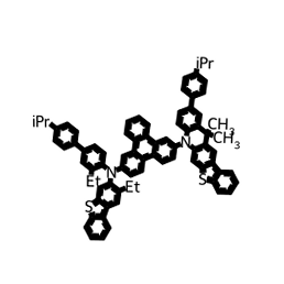 CCc1cc(-c2ccc(C(C)C)cc2)ccc1N(c1ccc2c3ccc(N4c5ccc(-c6ccc(C(C)C)cc6)cc5C(C)(C)c5cc6c(cc54)sc4ccccc46)cc3c3ccccc3c2c1)c1cc2sc3ccccc3c2cc1CC